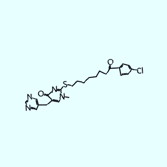 Cn1cc(Cc2cncnc2)c(=O)nc1SCCCCCCCC(=O)c1ccc(Cl)cc1